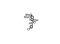 COc1ccc2c(O)c(C(=O)NCc3ccc(Cl)cc3)cnc2c1OC